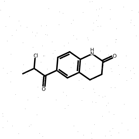 CC(Cl)C(=O)c1ccc2c(c1)CCC(=O)N2